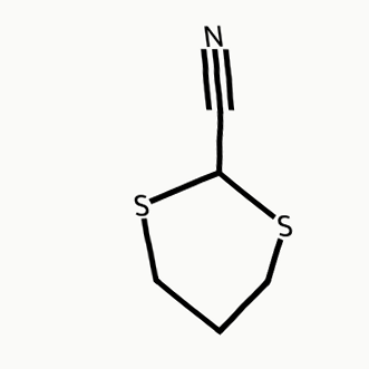 N#CC1SCCCS1